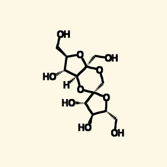 OC[C@H]1O[C@@]2(CO[C@]3(CO)O[C@H](CO)[C@@H](O)[C@@H]3O2)[C@@H](O)[C@@H]1O